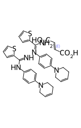 N=C(Nc1ccc(N2CC=CCC2)cc1)c1cccs1.NC(=Nc1ccc(N2CC=CCC2)cc1)c1cccs1.O=C(O)/C=C/C(=O)O